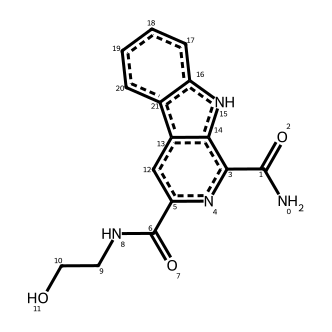 NC(=O)c1nc(C(=O)NCCO)cc2c1[nH]c1ccccc12